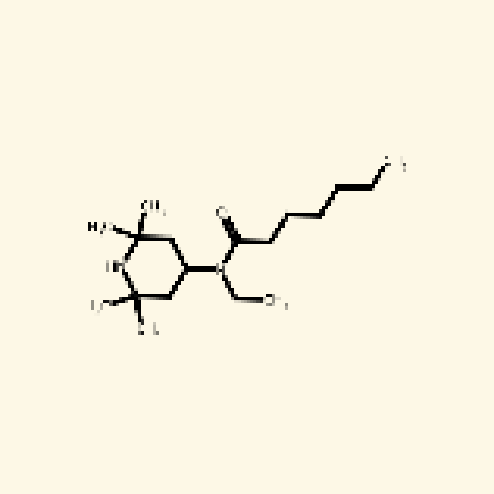 CCCCCCC(=O)N(CC)C1CC(C)(C)NC(C)(C)C1